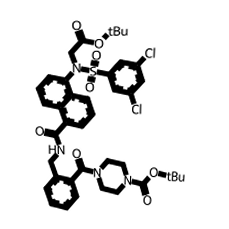 CC(C)(C)OC(=O)CN(c1cccc2c(C(=O)NCc3ccccc3C(=O)N3CCN(C(=O)OC(C)(C)C)CC3)cccc12)S(=O)(=O)c1cc(Cl)cc(Cl)c1